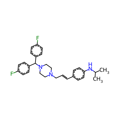 CC(C)Nc1ccc(/C=C/CN2CCN(C(c3ccc(F)cc3)c3ccc(F)cc3)CC2)cc1